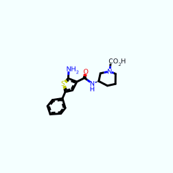 Nc1sc(-c2ccccc2)cc1C(=O)N[C@H]1CCCN(C(=O)O)C1